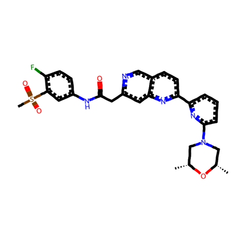 C[C@@H]1CN(c2cccc(-c3ccc4cnc(CC(=O)Nc5ccc(F)c(S(C)(=O)=O)c5)cc4n3)n2)C[C@H](C)O1